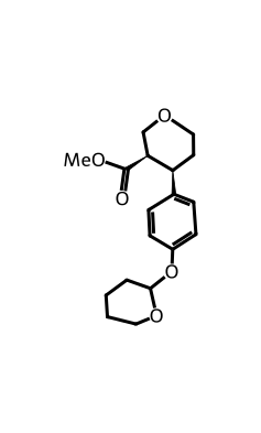 COC(=O)[C@H]1COCC[C@H]1c1ccc(OC2CCCCO2)cc1